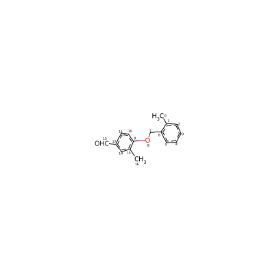 Cc1ccccc1COc1ccc(C=O)cc1C